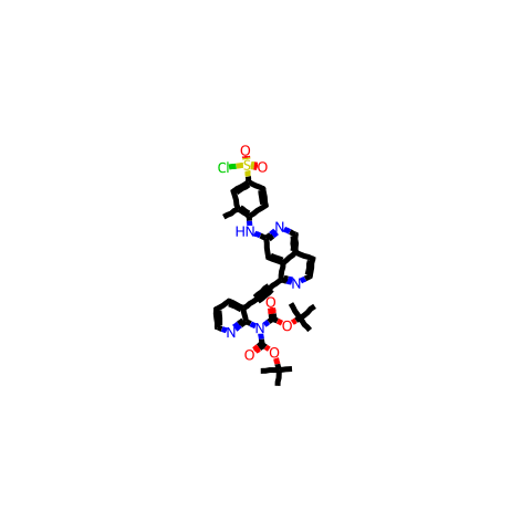 Cc1cc(S(=O)(=O)Cl)ccc1Nc1cc2c(C#Cc3cccnc3N(C(=O)OC(C)(C)C)C(=O)OC(C)(C)C)nccc2cn1